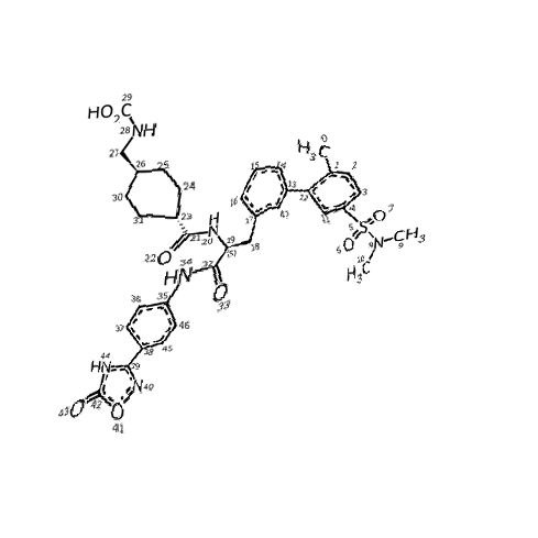 Cc1ccc(S(=O)(=O)N(C)C)cc1-c1cccc(C[C@H](NC(=O)[C@H]2CC[C@H](CNC(=O)O)CC2)C(=O)Nc2ccc(-c3noc(=O)[nH]3)cc2)c1